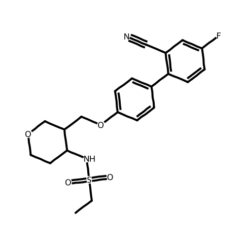 CCS(=O)(=O)NC1CCOCC1COc1ccc(-c2ccc(F)cc2C#N)cc1